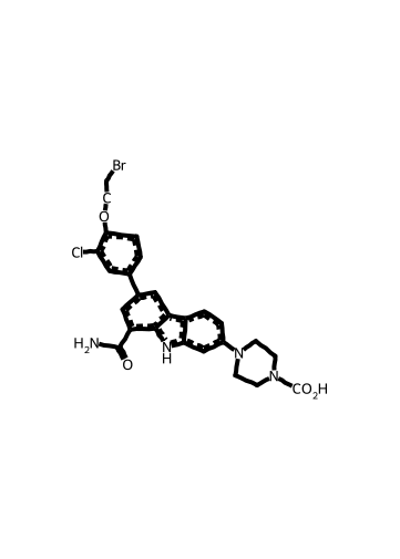 NC(=O)c1cc(-c2ccc(OCCBr)c(Cl)c2)cc2c1[nH]c1cc(N3CCN(C(=O)O)CC3)ccc12